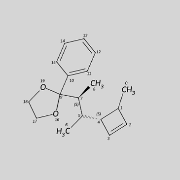 CC1C=C[C@@H]1C(C)[C@H](C)C1(c2ccccc2)OCCO1